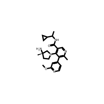 COc1cc(-c2c(C)ncc(C(=O)NC(C)C3CC3)c2N2CC[C@](C)(N)C2)ccn1